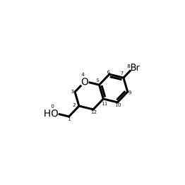 OCC1COc2cc(Br)ccc2C1